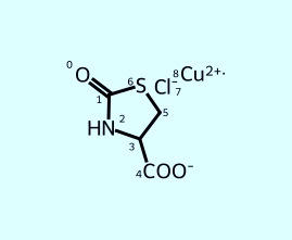 O=C1NC(C(=O)[O-])CS1.[Cl-].[Cu+2]